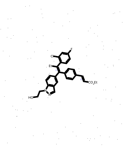 CCOC(=O)/C=C/c1ccc(/C(=C(/CC)c2ccc(F)cc2Cl)c2ccc3c(cnn3CCO)c2)cc1